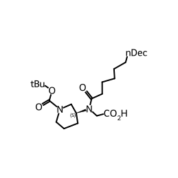 CCCCCCCCCCCCCCCC(=O)N(CC(=O)O)[C@H]1CCCN(C(=O)OC(C)(C)C)C1